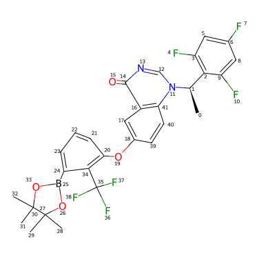 C[C@H](c1c(F)cc(F)cc1F)n1cnc(=O)c2cc(Oc3cccc(B4OC(C)(C)C(C)(C)O4)c3C(F)(F)F)ccc21